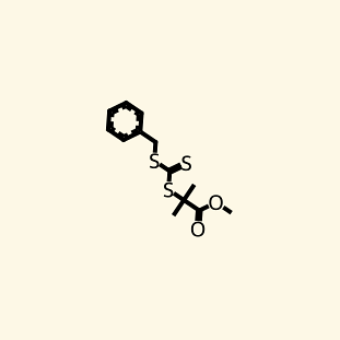 COC(=O)C(C)(C)SC(=S)SCc1ccccc1